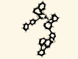 C1=CC(c2ccc3oc4cc5c6c(cccc6c4c3c2)-c2ccccc2-5)Cc2c1n(-c1nc(-c3ccc(-c4ccccc4)cc3)c3ccc4ccccc4c3n1)c1ccccc21